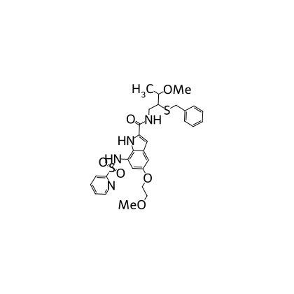 COCCOc1cc(NS(=O)(=O)c2ccccn2)c2[nH]c(C(=O)NCC(SCc3ccccc3)C(C)OC)cc2c1